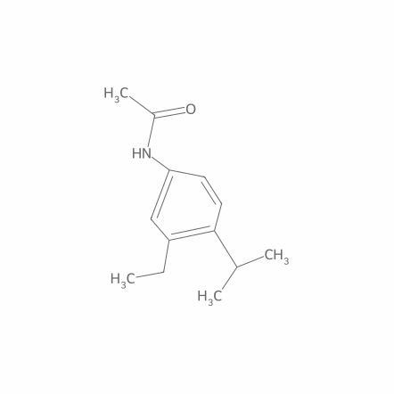 CCc1cc(NC(C)=O)ccc1C(C)C